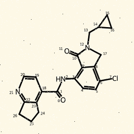 O=C(Nc1ccc(Cl)c2c1C(=O)N(CC1CC1)C2)c1ccnc2c1CCC2